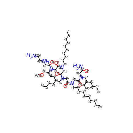 CCCCCCCCCCN(CC(=O)N(CC(=O)N(CCCCCCCCCC)CC(=O)N(CC(N)=O)CC(CC)CCCC)CC(CC)CCCC)C(=O)CN(CCOC)C(=O)CNCCN